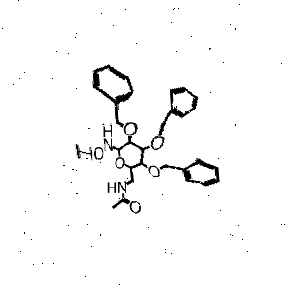 CC(=O)NCC1OC(NO)C(OCc2ccccc2)C(OCc2ccccc2)C1OCc1ccccc1